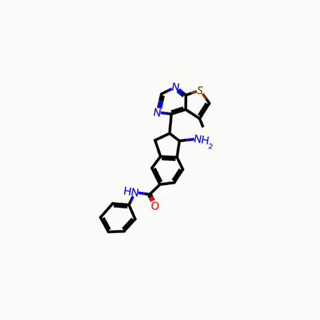 Cc1csc2ncnc(C3Cc4cc(C(=O)Nc5ccccc5)ccc4C3N)c12